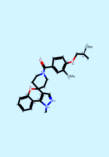 COc1cc(C(=O)N2CCC3(CC2)Oc2ccccc2-c2c3cnn2C)ccc1OC[C@H](C)OC